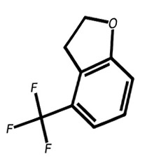 FC(F)(F)c1cccc2c1CCO2